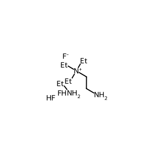 CC[N+](CC)(CC)CCN.F.F.[CH2]CN.[F-]